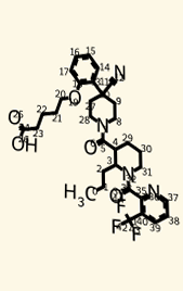 CCCC1C(C(=O)N2CCC(C#N)(c3ccccc3OCCCCC(=O)O)CC2)CCCN1C(=O)c1ncccc1C(F)(F)F